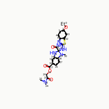 CCOc1ccc2nc(NC3(C(N)=O)Nc4cc(C(=O)OCC(=O)N(C)C)ccc4N3C)sc2c1